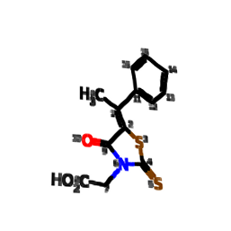 CC(=C1SC(=S)N(CC(=O)O)C1=O)c1ccccc1